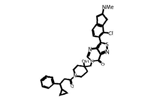 CNC1Cc2ccc(-c3snc4c(=O)n(CC5(O)CCN(C(=O)CC(c6ccccc6)C6CC6)CC5)cnc34)c(Cl)c2C1